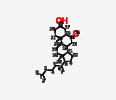 CC(C)CCCC(C)C1CCC2C3CC(=O)C4CC(O)CCC4(C)C3CCC12C